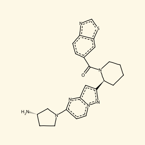 N[C@H]1CCN(c2ccn3nc([C@@H]4CCCCN4C(=O)c4ccc5ncsc5c4)cc3n2)C1